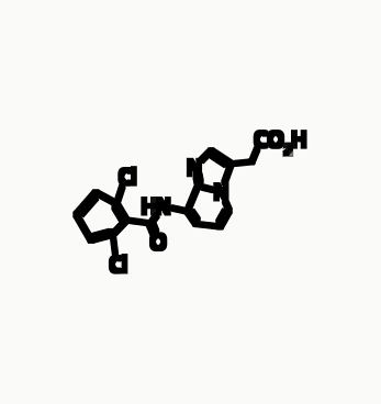 O=C(O)Cc1cnc2c(NC(=O)c3c(Cl)cccc3Cl)cccn12